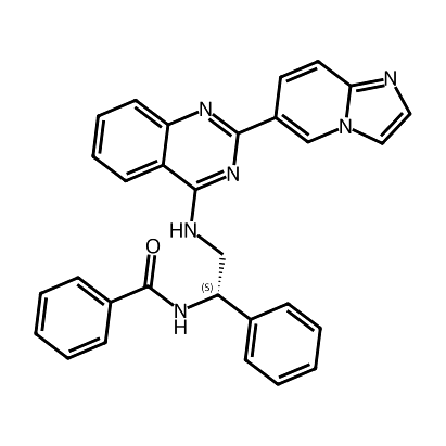 O=C(N[C@H](CNc1nc(-c2ccc3nccn3c2)nc2ccccc12)c1ccccc1)c1ccccc1